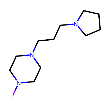 IN1CCN(CCCN2CCCC2)CC1